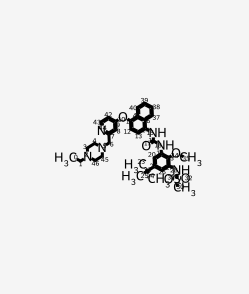 CCN1CCN(Cc2cc(Oc3ccc(NC(=O)Nc4cc(C(C)(C)C)cc(NS(C)(=O)=O)c4OC)c4ccccc34)ccn2)CC1